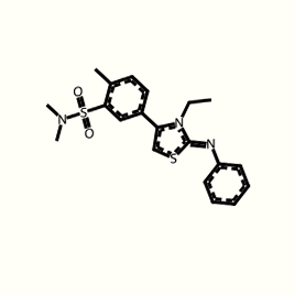 CCn1c(-c2ccc(C)c(S(=O)(=O)N(C)C)c2)csc1=Nc1ccccc1